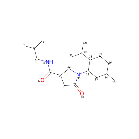 CC(C)CNC(=O)C1CC(=O)N(C2CC(C)CCC2C(C)C)C1